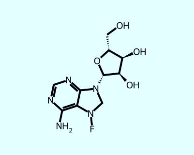 Nc1ncnc2c1N(F)CN2[C@@H]1O[C@H](CO)[C@@H](O)[C@H]1O